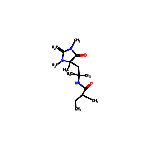 C=C1N(C)C(=O)C(C)(CC(C)(C)NC(=O)C(C)CC)N1C